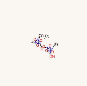 C=CCn1c(=O)n(CCC(=O)OCC)c(=O)n(CCC(=O)OCCn2c(=O)n(CCO)c(=O)n(CCCC(C)C)c2=O)c1=O